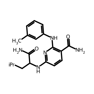 Cc1cccc(Nc2nc(NC(CC(C)C)C(N)=O)ccc2C(N)=O)c1